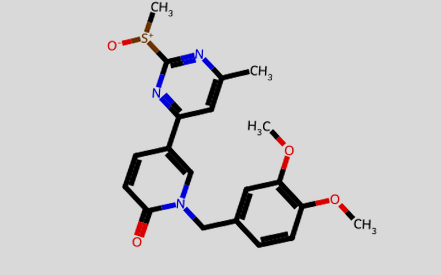 COc1ccc(Cn2cc(-c3cc(C)nc([S+](C)[O-])n3)ccc2=O)cc1OC